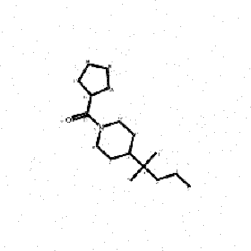 CCCC(C)(C)C1CCN(C(=O)C2CCCC2)CC1